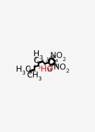 CC(C)=CCCC(C)=CCc1cc([N+](=O)[O-])cc([N+](=O)[O-])c1O